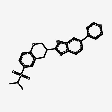 CN(C)S(=O)(=O)c1ccc2c(c1)CC(c1nc3ccc(-c4ccncc4)cc3[nH]1)CO2